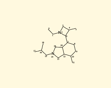 CCN1CC(C)C1C1CCC(C)C2CN(CC(C)C)CC21